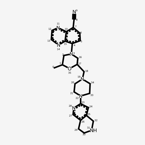 CC1CN(c2ccc(C#N)c3nccnc23)CC(CN2CCN(c3cc4c(cn3)CCNC4)CC2)O1